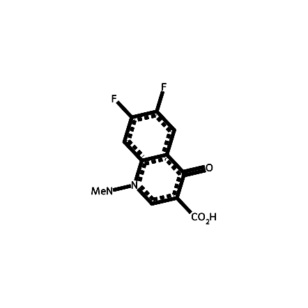 CNn1cc(C(=O)O)c(=O)c2cc(F)c(F)cc21